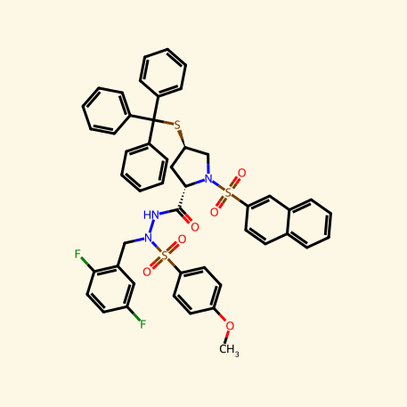 COc1ccc(S(=O)(=O)N(Cc2cc(F)ccc2F)NC(=O)[C@@H]2C[C@@H](SC(c3ccccc3)(c3ccccc3)c3ccccc3)CN2S(=O)(=O)c2ccc3ccccc3c2)cc1